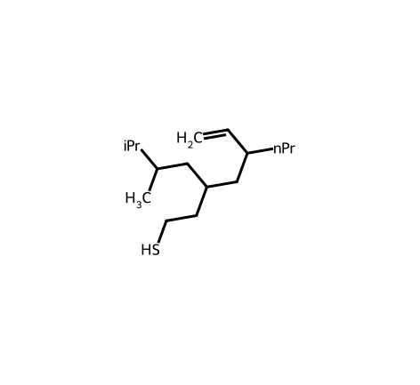 C=CC(CCC)CC(CCS)CC(C)C(C)C